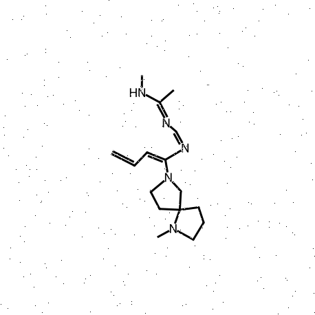 C=C/C=C(/N=C\N=C(/C)NC)N1CCC2(CCCN2C)C1